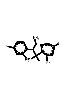 CC(N)(c1ccc(F)cc1Br)C(CN)c1ccc(F)cc1Br